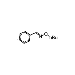 CCCCO/N=C/c1cc[c]cc1